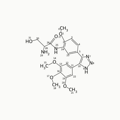 COc1ccc(-c2nn[nH]c2-c2cc(OC)c(OC)c(OC)c2)cc1NC(=O)C(N)CO